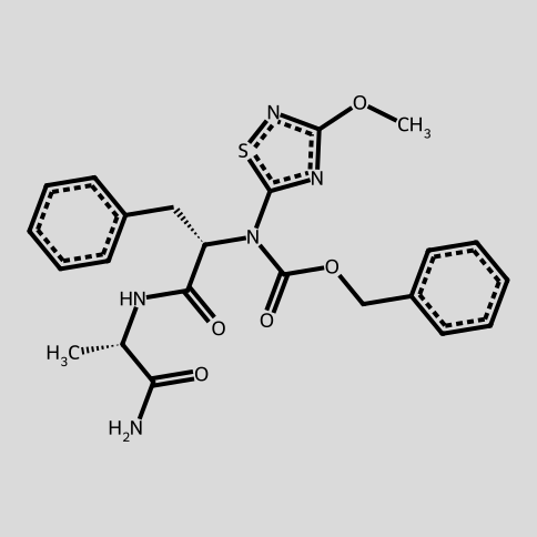 COc1nsc(N(C(=O)OCc2ccccc2)[C@@H](Cc2ccccc2)C(=O)N[C@@H](C)C(N)=O)n1